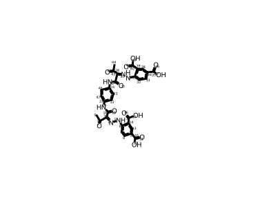 CC(=O)/C(=N/Nc1ccc(C(=O)O)cc1C(=O)O)C(=O)Nc1ccc(NC(=O)/C(=N\Nc2ccc(C(=O)O)cc2C(=O)O)C(C)=O)cc1